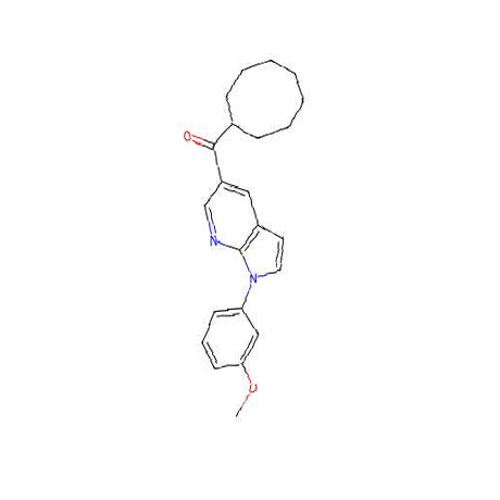 COc1cccc(-n2ccc3cc(C(=O)C4CCCCCCC4)cnc32)c1